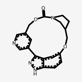 O=C1OCc2cncc(c2)-c2n[nH]c3ccc(cc23)OCC2CCN1C2